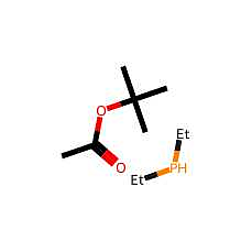 CC(=O)OC(C)(C)C.CCPCC